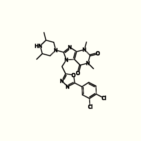 CC1CN(c2nc3c(c(=O)n(C)c(=O)n3C)n2Cc2nnc(-c3ccc(Cl)c(Cl)c3)o2)CC(C)N1